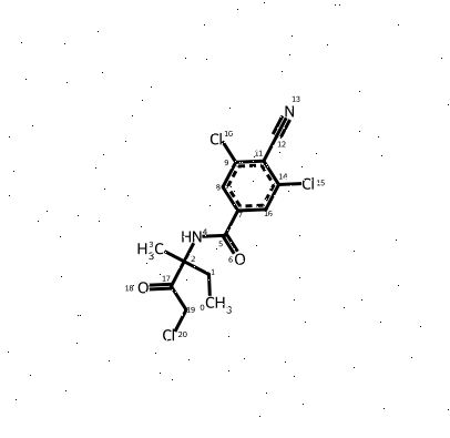 CCC(C)(NC(=O)c1cc(Cl)c(C#N)c(Cl)c1)C(=O)CCl